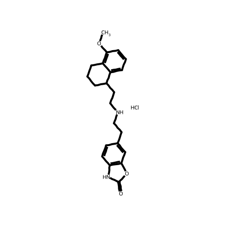 COc1cccc2c1CCCC2CCNCCc1ccc2[nH]c(=O)oc2c1.Cl